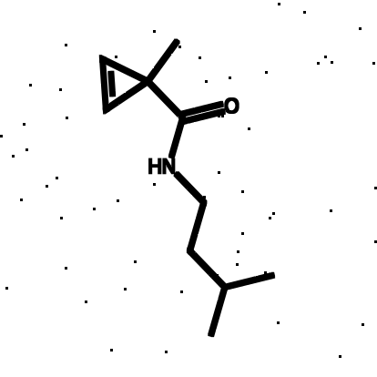 CC(C)CCNC(=O)C1(C)C=C1